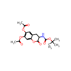 CC(=O)Oc1cc2c(cc1OC(C)=O)OC(=O)C(NC(=O)OC(C)(C)C)C2